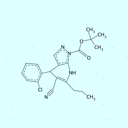 CCCC1=C(C#N)C(c2ccccc2Cl)c2cnn(C(=O)OC(C)(C)C)c2N1